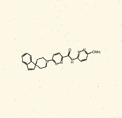 COc1ccc(NC(=O)c2ccc(N3CCC4(C=Cc5ccccc54)CC3)nn2)nn1